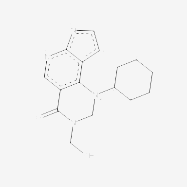 CCN1CN(C2CCCCC2)c2c(cnc3[nH]ccc23)C1=O